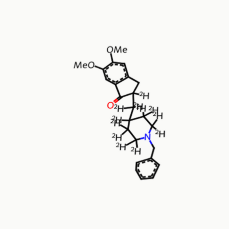 [2H]C1(C([2H])([2H])C2([2H])C([2H])([2H])C([2H])([2H])N(Cc3ccccc3)C([2H])([2H])C2([2H])[2H])Cc2cc(OC)c(OC)cc2C1=O